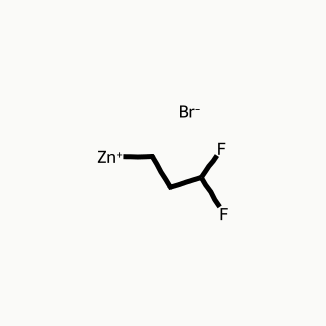 FC(F)C[CH2][Zn+].[Br-]